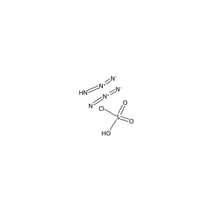 O=S(=O)(O)Cl.[N-]=[N+]=N.[N-]=[N+]=[N-]